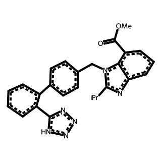 COC(=O)c1cccc2nc(C(C)C)n(Cc3ccc(-c4ccccc4-c4nnn[nH]4)cc3)c12